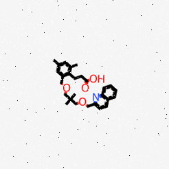 Cc1cc(C)c(CCC(=O)O)c(COCC(C)(C)COCc2ccc3ccccc3n2)c1